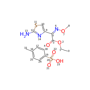 CCOC(=O)C(=NOC)c1csc(N)n1.Cc1ccc(S(=O)(=O)O)cc1